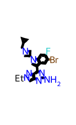 CCn1cc2nc(N)nc(-c3cn(C4CN(CC5CC5)C4)c4cc(F)c(Br)cc34)c2n1